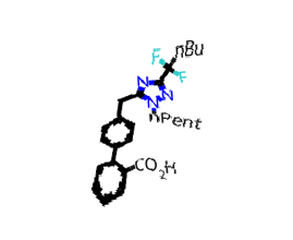 CCCCCn1nc(C(F)(F)CCCC)nc1Cc1ccc(-c2ccccc2C(=O)O)cc1